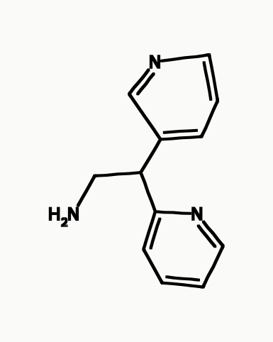 NCC(c1cccnc1)c1ccccn1